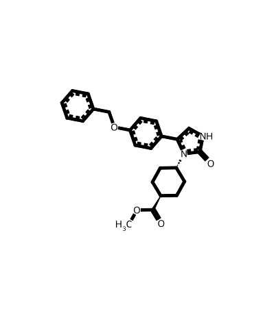 COC(=O)[C@H]1CC[C@H](n2c(-c3ccc(OCc4ccccc4)cc3)c[nH]c2=O)CC1